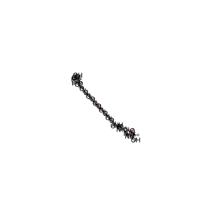 CCCN(OCCO)C(=O)C1=Cc2ccc(-c3cnc(CNC(=O)CCOCCOCCOCCOCCOCCOCCOCCOCCOCCOCCC(=O)Oc4c(F)c(F)c(S(=O)(=O)O)c(F)c4F)nc3)cc2N=C(N)C1